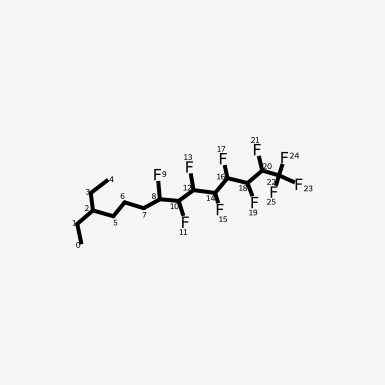 CCC(CC)CCCC(F)C(F)C(F)C(F)C(F)C(F)C(F)C(F)(F)F